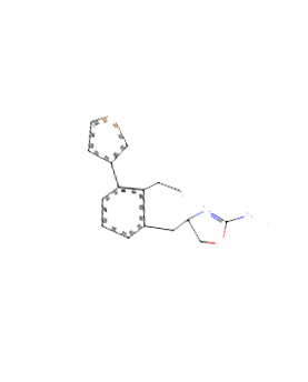 NC1=N[C@@]2(CCc3c(cccc3-c3ccsc3)C2)CO1